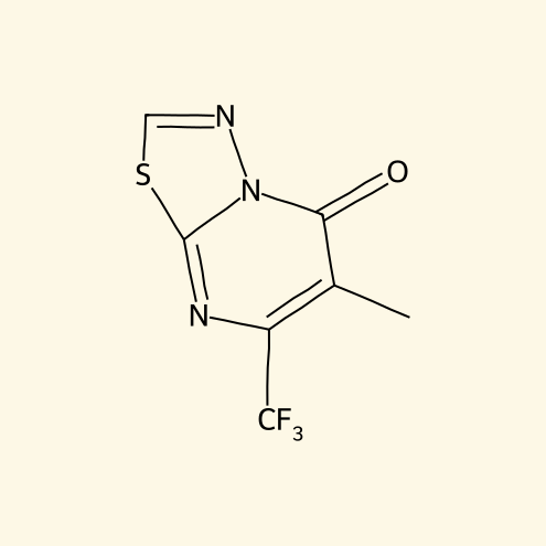 Cc1c(C(F)(F)F)nc2scnn2c1=O